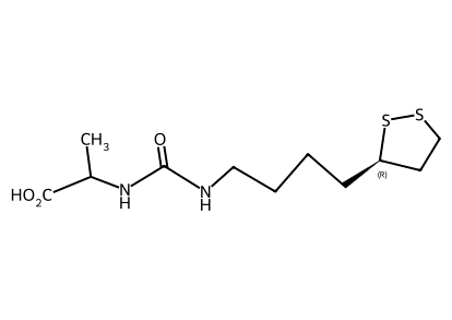 CC(NC(=O)NCCCC[C@@H]1CCSS1)C(=O)O